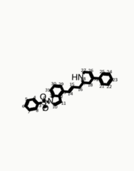 O=S(=O)(c1ccccc1)n1ccc2c(C=CCC3CC(c4ccccc4)=CCN3)cccc21